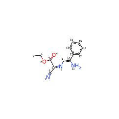 CCOC(=O)C(C#N)=NC=C(N)c1ccccc1